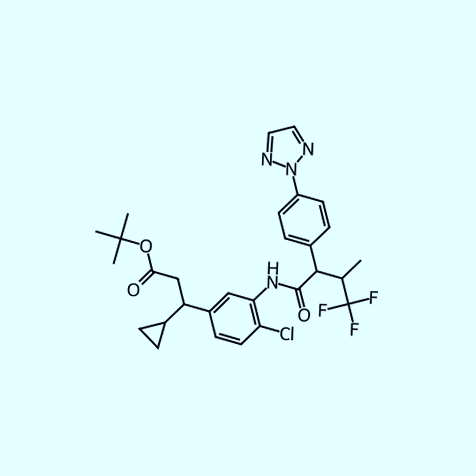 CC(C(C(=O)Nc1cc(C(CC(=O)OC(C)(C)C)C2CC2)ccc1Cl)c1ccc(-n2nccn2)cc1)C(F)(F)F